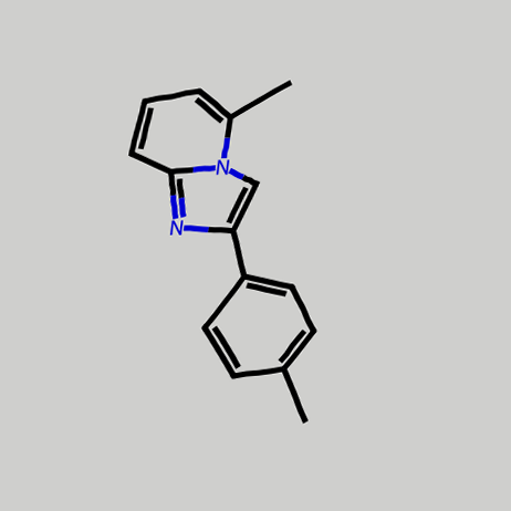 Cc1ccc(-c2cn3c(C)cccc3n2)cc1